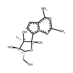 C[C@@]1(O)[C@H](O)[C@@H](CO)O[C@@]1(O)c1ccc2c(N)nc(N)nn12